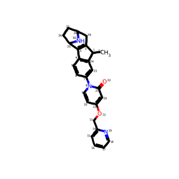 CC1C2=C(c3ccc(-n4ccc(OCc5ccccn5)cc4=O)cc31)C1CCC(C2)N1